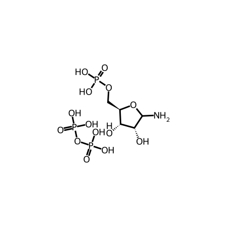 NC1O[C@H](COP(=O)(O)O)[C@@H](O)[C@H]1O.O=P(O)(O)OP(=O)(O)O